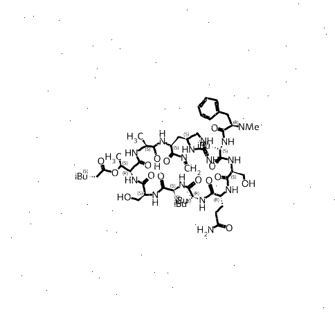 C=NC(=O)[C@H](C[C@H]1CNC(=N)N1)NC(O)[C@H](C)NC(=O)[C@H](NC(=O)[C@H](CO)NC(=O)[C@@H](NC(=O)[C@H](NC(=O)[C@@H](CCC(N)=O)NC(=O)[C@H](CO)NC(=O)[C@@H](NC(=O)[C@@H](Cc1ccccc1)NC)[C@@H](C)CC)[C@@H](C)CC)[C@@H](C)CC)[C@H](C)OC(=O)C[C@@H](C)CC